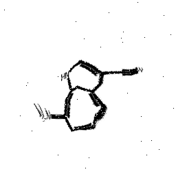 N#Cc1c[nH]c2c(N)cccc12